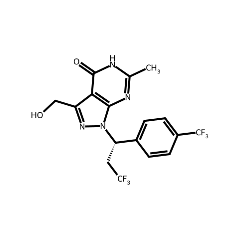 Cc1nc2c(c(CO)nn2[C@@H](CC(F)(F)F)c2ccc(C(F)(F)F)cc2)c(=O)[nH]1